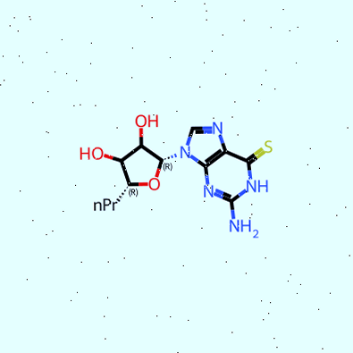 CCC[C@H]1O[C@@H](n2cnc3c(=S)[nH]c(N)nc32)C(O)C1O